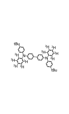 [2H]c1c([2H])c([2H])c(N(c2ccc(-c3ccc(N(c4ccc(C(C)(C)C)cc4)c4c([2H])c([2H])c([2H])c([2H])c4[2H])cc3)cc2)c2ccc(C(C)(C)C)cc2)c([2H])c1[2H]